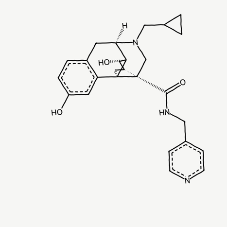 O=C(NCc1ccncc1)[C@@H]1C[C@]23CCN(CC4CC4)[C@H](Cc4ccc(O)cc42)[C@]3(O)C1